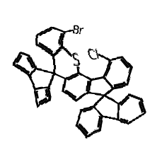 Clc1cccc2c1-c1c(ccc3c1Sc1c(Br)cccc1C31c3ccccc3-c3ccccc31)C21c2ccccc2-c2ccccc21